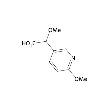 COc1ccc(C(OC)C(=O)O)cn1